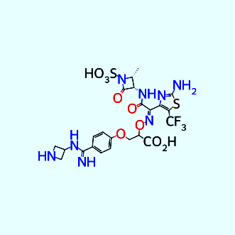 C[C@@H]1[C@H](NC(=O)/C(=N\OC(COc2ccc(C(=N)NC3CNC3)cc2)C(=O)O)c2nc(N)sc2C(F)(F)F)C(=O)N1S(=O)(=O)O